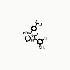 CCCC(c1ccc(C(=O)Cl)cc1)N1C(=O)C(c2cc(C)cc(Cl)c2)=NC12CCCCC2